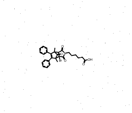 CC12C(=O)C(C)(C(c3ccccc3)=C1c1ccccc1)C1(Br)C(=O)N(CCCCCC(=O)O)C(=O)C21